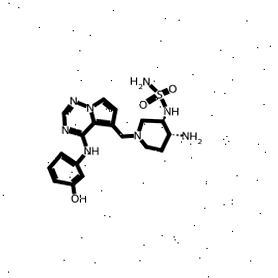 N[C@@H]1CCN(Cc2ccn3ncnc(Nc4cccc(O)c4)c23)C[C@@H]1NS(N)(=O)=O